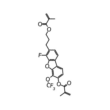 C=C(C)C(=O)OCCCc1ccc2c(oc3c(OC(F)(F)F)c(OC(=O)C(=C)C)ccc32)c1F